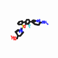 Nc1ccc(-c2ccc(-c3ccccc3[S+]([O-])N3CCC(CO)CC3)cc2F)cn1